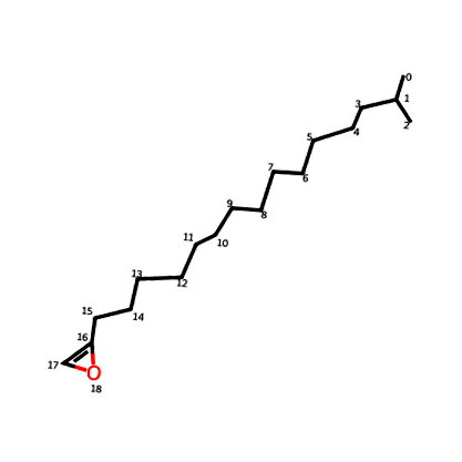 CC(C)CCCCCCCCCCCCCC1=CO1